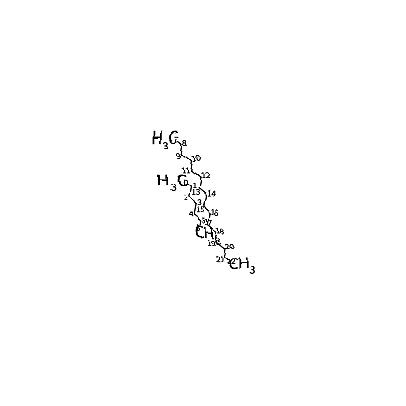 CCCCCCC.CCCCCCCCCCCCCCCC